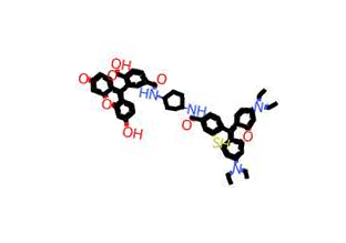 CCN(CC)c1ccc2c(-c3ccc(C(=O)N[C@H]4CC[C@H](NC(=O)c5ccc(C(=O)O)c(-c6c7ccc(=O)cc-7oc7cc(O)ccc67)c5)CC4)cc3S)c3ccc(=[N+](CC)CC)cc-3oc2c1